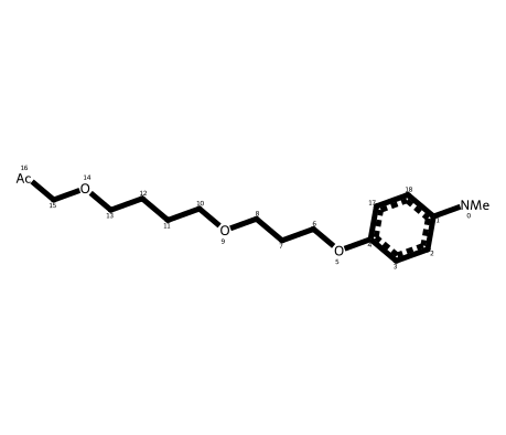 CNc1ccc(OCCCOCCCCOCC(C)=O)cc1